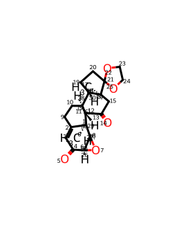 C[C@@]12C(=CC(=O)[C@@H]3O[C@@H]31)CC[C@@H]1[C@@H]2C(=O)C[C@@]2(C)[C@H]1CCC21OCCO1